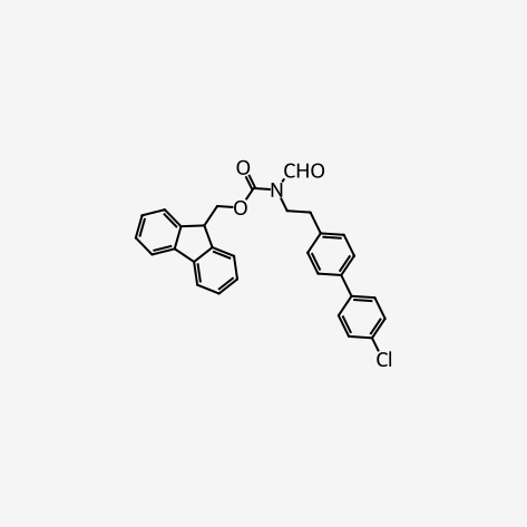 O=CN(CCc1ccc(-c2ccc(Cl)cc2)cc1)C(=O)OCC1c2ccccc2-c2ccccc21